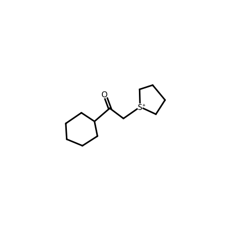 O=C(C[S+]1CCCC1)C1CCCCC1